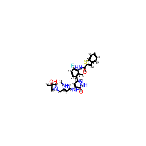 Cc1c(-c2cc(Nc3cc(CN4CC(C)(O)C4)n(C)n3)c(=O)[nH]n2)ccc(F)c1NC(=O)c1cc2ccccc2s1